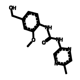 COc1cc(CO)ccc1NC(=O)Nc1cnc(C)cn1